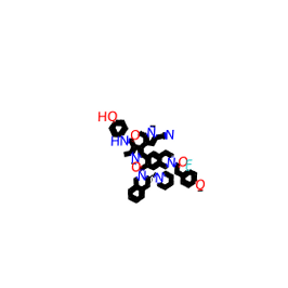 COc1ccc(CC(=O)N2CCc3cc(-c4c(-c5cc(C#N)n(C)c5C)c(C(=O)Nc5ccc(O)cc5)c(C)n4C)c(C(=O)N4Cc5ccccc5C[C@H]4CN4CCCCC4)cc3C2)c(F)c1